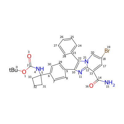 CC(C)(C)OC(=O)NC1(c2ccc(-c3nc4c(C(N)=O)cc(Br)cn4c3-c3ccccc3)cc2)CCC1